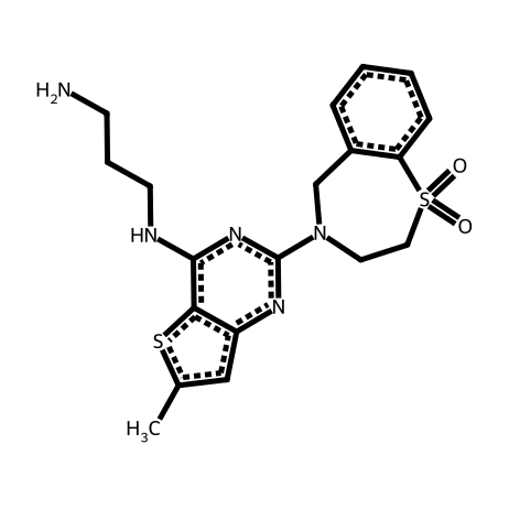 Cc1cc2nc(N3CCS(=O)(=O)c4ccccc4C3)nc(NCCCN)c2s1